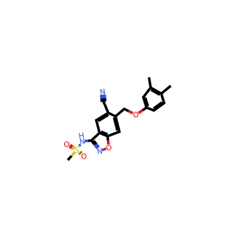 Cc1ccc(OCc2cc3onc(NS(C)(=O)=O)c3cc2C#N)cc1C